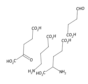 NC(CCC(=O)O)C(=O)O.NCCCC(=O)O.O=C(O)CCC(=O)C(=O)O.O=CCCC(=O)O